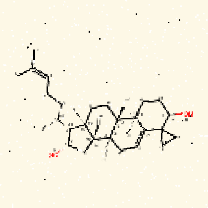 CC(C)=CCC[C@@H](C)[C@H]1[C@@H](O)C[C@H]2[C@@H]3CC=C4C5(CC5)[C@H](O)CC[C@]4(C)[C@H]3CC[C@]12C